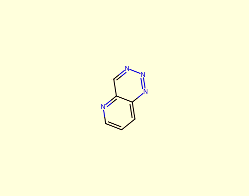 [c]1nnnc2cccnc12